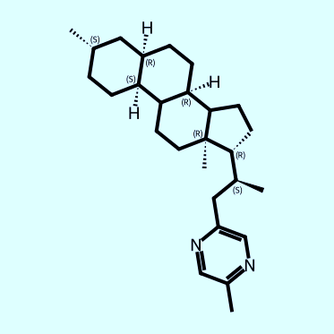 Cc1cnc(C[C@H](C)[C@H]2CCC3[C@@H]4CC[C@@H]5C[C@@H](C)CC[C@@H]5C4CC[C@@]32C)cn1